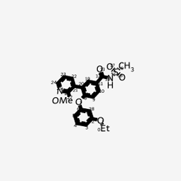 CCOc1cccc(Oc2ccc(C(=O)NS(C)(=O)=O)cc2-c2cccnc2OC)c1